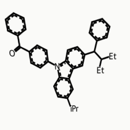 CCC(CC)C(c1ccccc1)c1ccc2c(c1)c1cc(C(C)C)ccc1n2-c1ccc(C(=O)c2ccccc2)cc1